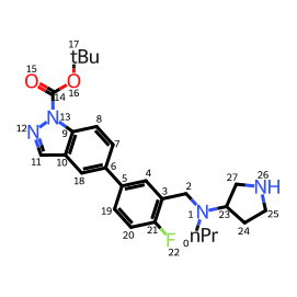 CCCN(Cc1cc(-c2ccc3c(cnn3C(=O)OC(C)(C)C)c2)ccc1F)C1CCNC1